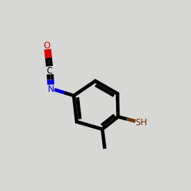 Cc1cc(N=C=O)ccc1S